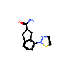 NC(=O)C1Cc2cccc(N3NC=CS3)c2C1